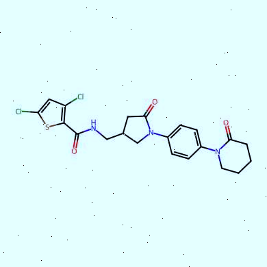 O=C(NCC1CC(=O)N(c2ccc(N3CCCCC3=O)cc2)C1)c1sc(Cl)cc1Cl